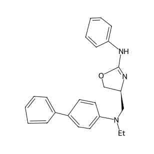 CCN(C[C@H]1COC(Nc2ccccc2)=N1)c1ccc(-c2ccccc2)cc1